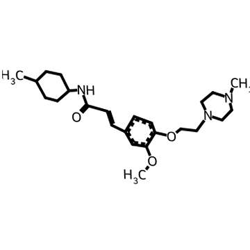 COc1cc(/C=C/C(=O)NC2CCC(C)CC2)ccc1OCCN1CCN(C)CC1